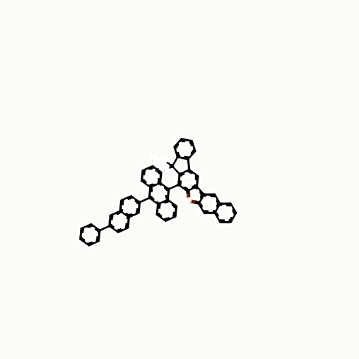 CC1(C)c2ccccc2-c2cc3c(sc4cc5ccccc5cc43)c(-c3c4ccccc4c(-c4ccc5cc(-c6ccccc6)ccc5c4)c4ccccc34)c21